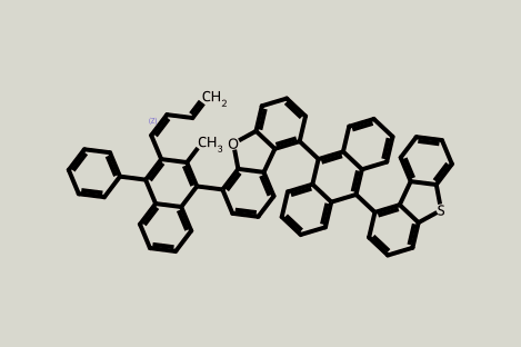 C=C/C=C\c1c(C)c(-c2cccc3c2oc2cccc(-c4c5ccccc5c(-c5cccc6sc7ccccc7c56)c5ccccc45)c23)c2ccccc2c1-c1ccccc1